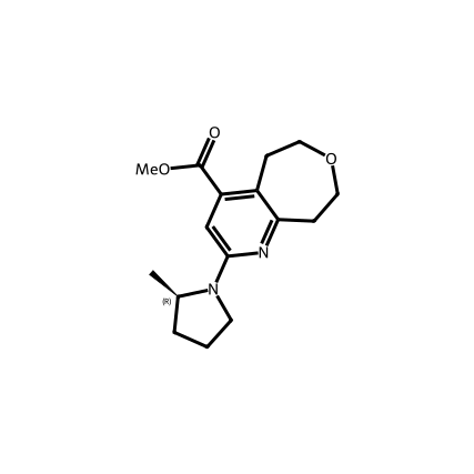 COC(=O)c1cc(N2CCC[C@H]2C)nc2c1CCOCC2